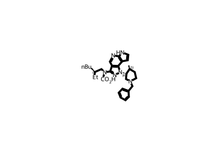 CCCC[C@H](CC)CN(C(=O)O)c1nn([C@H]2CN(Cc3ccccc3)CC[C@@H]2C)c2c1cnc1[nH]ccc12